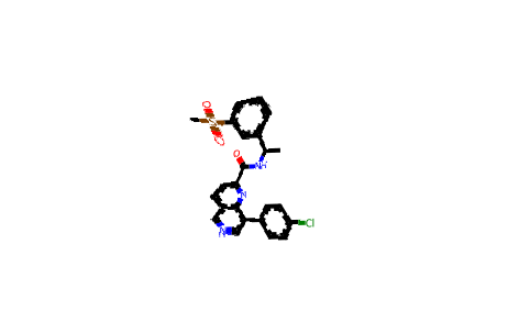 CC(NC(=O)c1ccc2cncc(-c3ccc(Cl)cc3)c2n1)c1cccc(S(C)(=O)=O)c1